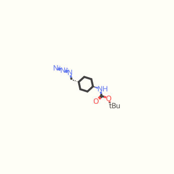 CC(C)(C)OC(=O)N[C@H]1CC[C@H](CN=[N+]=[N-])CC1